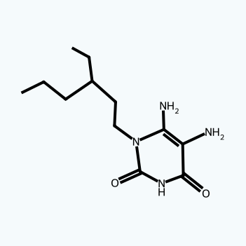 CCCC(CC)CCn1c(N)c(N)c(=O)[nH]c1=O